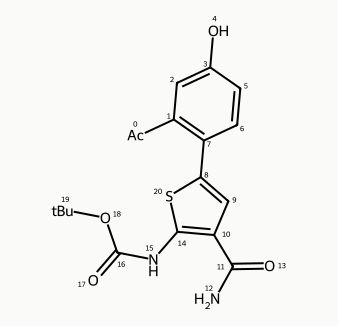 CC(=O)c1cc(O)ccc1-c1cc(C(N)=O)c(NC(=O)OC(C)(C)C)s1